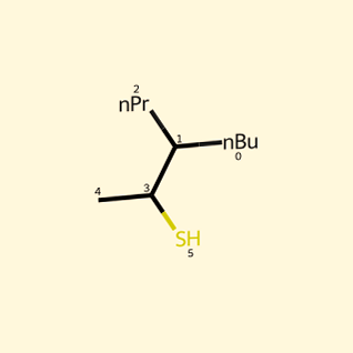 CCCCC(CCC)C(C)S